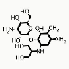 CC1[C@@H](N)C[C@@H](NC(CO)CO)[C@H](O[C@H]2O[C@H](CO)[C@@H](O)[C@H](N)[C@H]2O)[C@H]1O